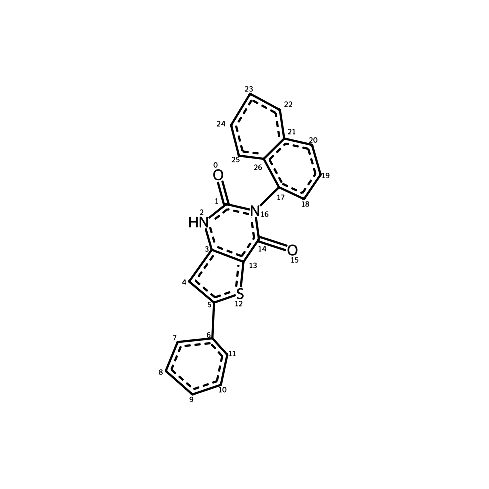 O=c1[nH]c2cc(-c3ccccc3)sc2c(=O)n1-c1cccc2ccccc12